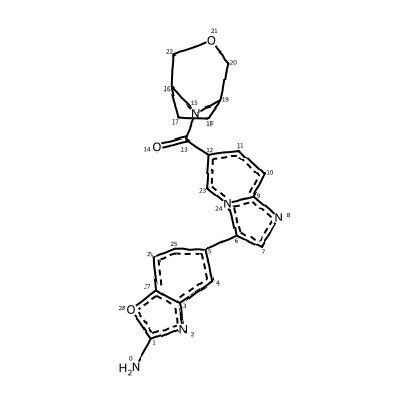 Nc1nc2cc(-c3cnc4ccc(C(=O)N5C6CCC5COC6)cn34)ccc2o1